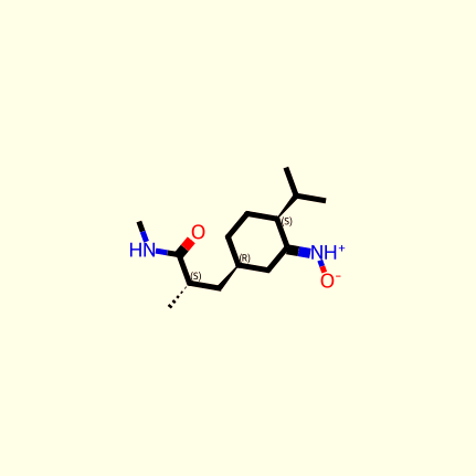 CNC(=O)[C@@H](C)C[C@H]1CC[C@@H](C(C)C)C(=[NH+][O-])C1